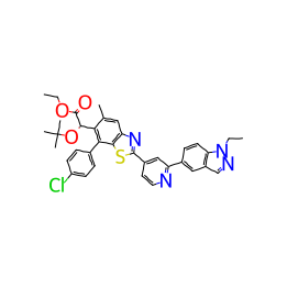 CCOC(=O)[C@@H](OC(C)(C)C)c1c(C)cc2nc(-c3ccnc(-c4ccc5c(cnn5CC)c4)c3)sc2c1-c1ccc(Cl)cc1